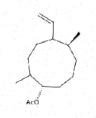 C=CC1CCC(C)[C@@H](OC(C)=O)CCC[C@@H]1C